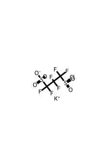 O=S(=O)([O-])C(F)(F)C(F)(F)C(F)(F)S(=O)(=O)Cl.[K+]